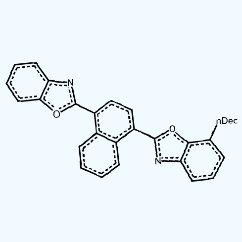 CCCCCCCCCCc1cccc2nc(-c3ccc(-c4nc5ccccc5o4)c4ccccc34)oc12